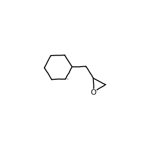 [CH]1CCCCC1CC1CO1